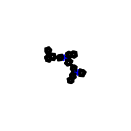 c1ccc(-n2c3ccc(-c4ccc5c(c4)c4c6ccccc6ccc4n5-c4ccc(-c5cc6c7c(cccc7c5)-c5ccccc5-6)cc4)cc3c3cc4ccccc4cc32)cc1